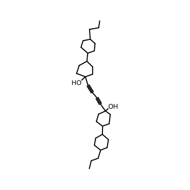 CCCC1CCC(C2CCC(O)(C#CC#CC3(O)CCC(C4CCC(CCC)CC4)CC3)CC2)CC1